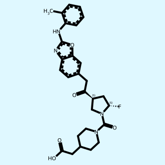 Cc1ccccc1Nc1nc2ccc(CC(=O)[C@H]3C[C@H](F)N(C(=O)N4CCC(CC(=O)O)CC4)C3)cc2o1